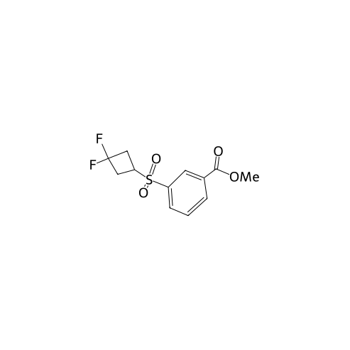 COC(=O)c1cccc(S(=O)(=O)C2CC(F)(F)C2)c1